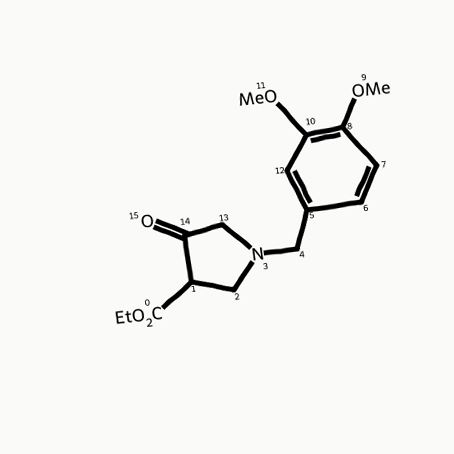 CCOC(=O)C1CN(Cc2ccc(OC)c(OC)c2)CC1=O